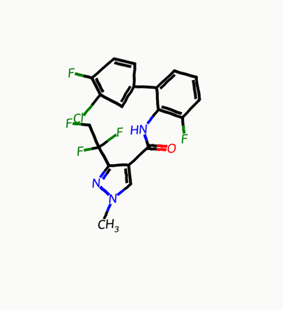 Cn1cc(C(=O)Nc2c(F)cccc2-c2ccc(F)c(Cl)c2)c(C(F)(F)CF)n1